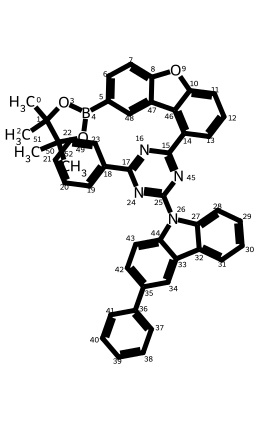 CC1(C)OB(c2ccc3oc4cccc(-c5nc(-c6ccccc6)nc(-n6c7ccccc7c7cc(-c8ccccc8)ccc76)n5)c4c3c2)OC1(C)C